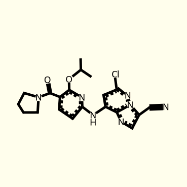 CC(C)Oc1nc(Nc2cc(Cl)nn3c(C#N)cnc23)ccc1C(=O)N1CCCC1